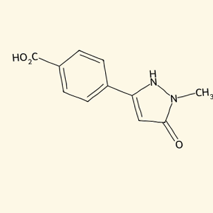 Cn1[nH]c(-c2ccc(C(=O)O)cc2)cc1=O